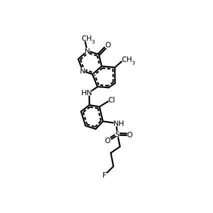 Cc1ccc(Nc2cccc(NS(=O)(=O)CCCF)c2Cl)c2ncn(C)c(=O)c12